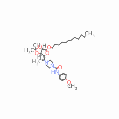 CCCCCCCCCCCCO[C@H]1O[C@H]([C@H](C)N2CCN(C(=O)Nc3ccc(OC)cc3)CC2)[C@@H]2OC(C)(C)O[C@H]12